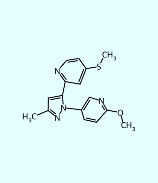 COc1ccc(-n2nc(C)cc2-c2cc(SC)ccn2)cn1